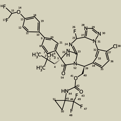 CC(C)(C)C[C@]1(c2ccc(-c3ccc(OC(F)F)cc3)cc2)N/C2=N\C(F)c3ncnn3-c3cc(ccc3Cl)[C@@H](COC(=O)NC3(C(F)(F)F)CC3)N2C1=O